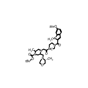 COc1ccc2cc(C(=O)N3CCN(C(=O)CN4CC(C)N(C(=O)OC(C)(C)C)CC4CN4CCOC[C@H]4C)CC3)n(C)c2c1